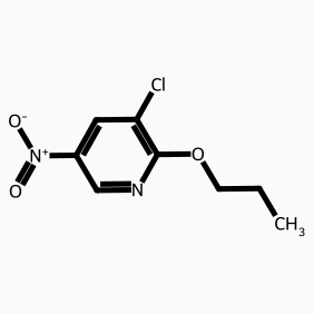 CCCOc1ncc([N+](=O)[O-])cc1Cl